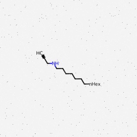 C#CCNCCCCCCCCCCCCC